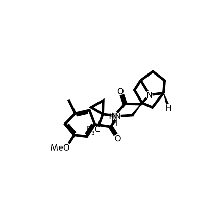 COc1cc(C)cc(C(=O)NC[C@H]2CC3CC[C@H](C2)N3CC(=O)NC2(C(F)(F)F)CC2)c1